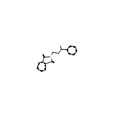 O=C1c2ccccc2C(=O)N1CCC(O)c1ccccc1